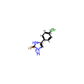 S=c1[nH]cc(-c2ccc(Br)cc2)[nH]1